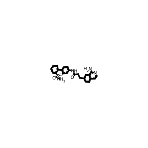 Nc1nccc2ccc(CCC(=O)Nc3ccc(-c4ccccc4S(N)(=O)=O)cc3)cc12